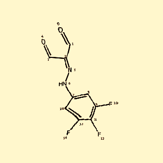 O=CC(C=O)=NNc1cc(F)c(F)c(F)c1